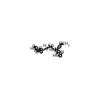 C=CC(=O)N1CCN(c2nc(NCCC(=O)N(C)CCOCCNc3cccc4c3C(=O)N(C3CCC(=O)NC3=O)C4=O)nc3c(F)c(-c4c(O)cccc4F)c(Cl)cc23)CC1